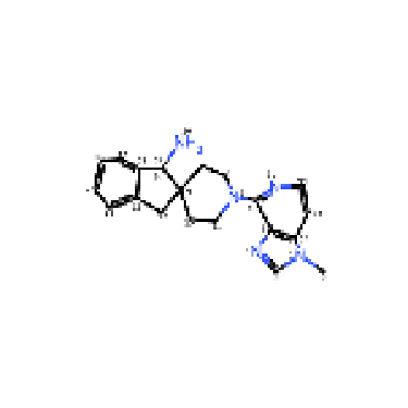 Cn1cnc2c(N3CCC4(CC3)Cc3ccccc3[C@H]4N)nccc21